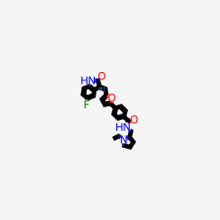 CCN1CCCC1CNC(=O)c1ccc(-c2ccc(/C=C3/C(=O)Nc4ccc(F)cc43)o2)cc1